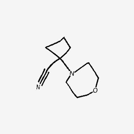 N#CC1(N2CCOCC2)CCC1